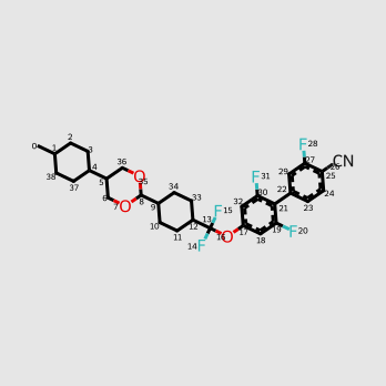 CC1CCC(C2COC(C3CCC(C(F)(F)Oc4cc(F)c(-c5ccc(C#N)c(F)c5)c(F)c4)CC3)OC2)CC1